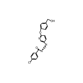 O=C(N=[N+]=Nc1ccc(Oc2ccc(CO)cc2)nc1)c1ccc(Cl)cc1